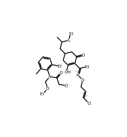 CCOCN(C(=O)CCl)c1c(C)cccc1CC.CCSC(C)CC1CC(=O)C(/C(CC)=N/OC/C=C/Cl)=C(O)C1